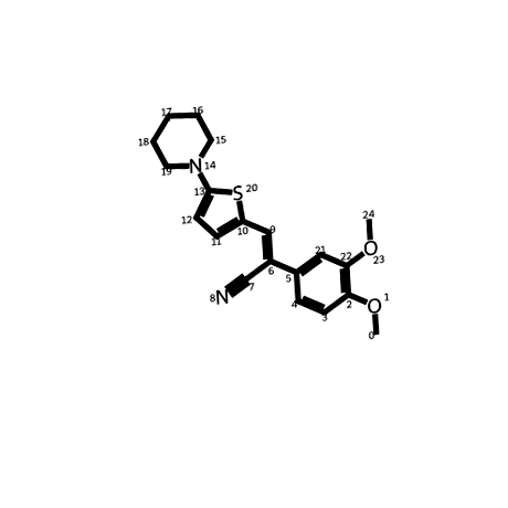 COc1ccc(C(C#N)=Cc2ccc(N3CC[CH]CC3)s2)cc1OC